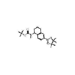 CC(C)(C)OC(=O)NC1CCCc2cc(B3OC(C)(C)C(C)(C)O3)ccc21